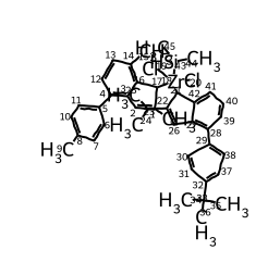 CC1=Cc2c(-c3ccc(C)cc3)ccc(C)c2[CH]1[Zr]([Cl])([Cl])([CH]1C(C(C)C)=Cc2c(-c3ccc(C(C)(C)C)cc3)cccc21)[SiH](C)C